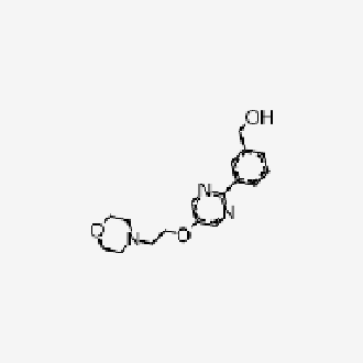 OCc1cccc(-c2ncc(OCCN3CCOCC3)cn2)c1